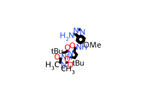 COc1cc2ncnc(N)c2cc1NC(=O)C1CCCN1C(=O)C(NC(=O)C(C)N(C)C(=O)OC(C)(C)C)C(C)(C)C